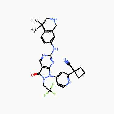 CC1(C)CNCc2cc(Nc3ncc4c(=O)n(CC(F)(F)F)n(-c5ccnc(C6(C#N)CCC6)c5)c4n3)ccc21